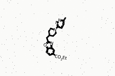 CCOC(=O)c1ccc2oc(CC3CCN(c4ccc(C)nn4)CC3)nc2c1